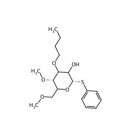 CCCCOC1C(O)[C@H](Sc2ccccc2)OC(COC)[C@@H]1OC